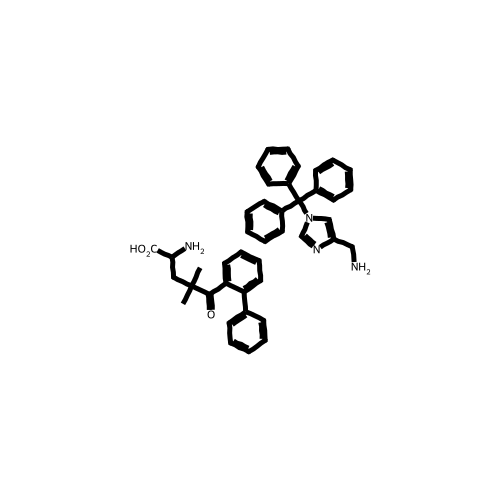 CC(C)(CC(N)C(=O)O)C(=O)c1ccccc1-c1ccccc1.NCc1cn(C(c2ccccc2)(c2ccccc2)c2ccccc2)cn1